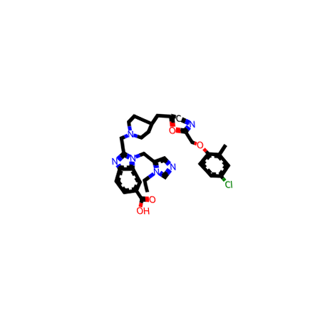 CCn1cncc1Cn1c(CN2CCC(Cc3cnc(COc4ccc(Cl)cc4C)o3)CC2)nc2ccc(C(=O)O)cc21